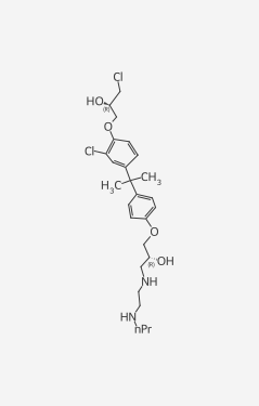 CCCNCCNC[C@@H](O)COc1ccc(C(C)(C)c2ccc(OC[C@@H](O)CCl)c(Cl)c2)cc1